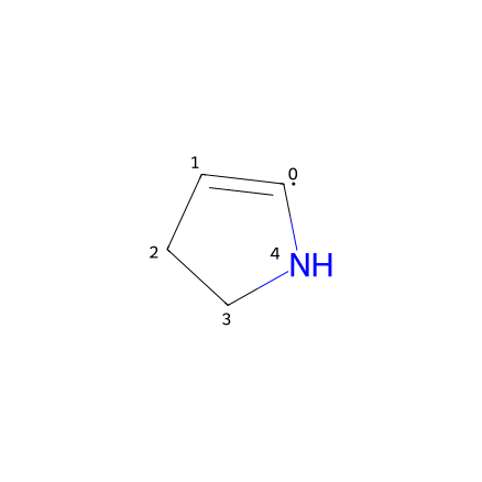 [C]1=CCCN1